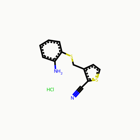 Cl.N#Cc1sccc1CSc1ccccc1N